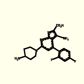 Nc1c(C(=O)O)sc2nc(N3CCC(N)CC3)cc(-c3ccc(F)cc3F)c12